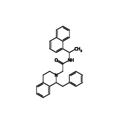 CC(NC(=O)CN1CCc2ccccc2C1Cc1ccccc1)c1cccc2ccccc12